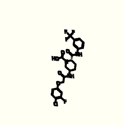 O=C(COc1ccc(Cl)c(F)c1)N[C@@H]1CC[C@@H](C(=O)Nc2cccc(C(F)(F)F)c2)N(C(=O)O)C1